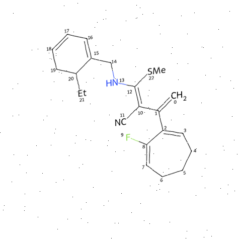 C=C(C1=CCCCC=C1F)/C(C#N)=C(/NCC1=CC=CCC1CC)SC